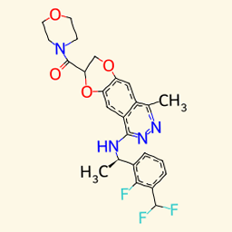 Cc1nnc(N[C@H](C)c2cccc(C(F)F)c2F)c2cc3c(cc12)OCC(C(=O)N1CCOCC1)O3